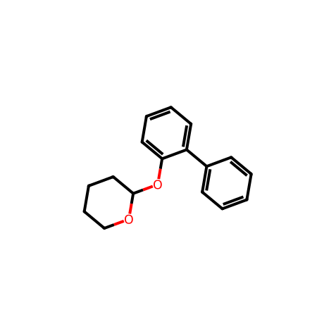 c1ccc(-c2ccccc2OC2CCCCO2)cc1